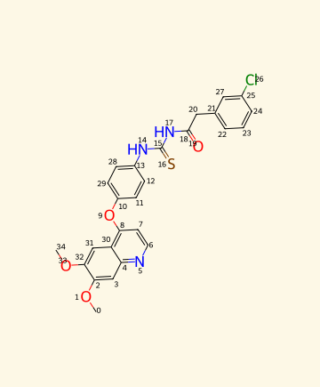 COc1cc2nccc(Oc3ccc(NC(=S)NC(=O)Cc4cccc(Cl)c4)cc3)c2cc1OC